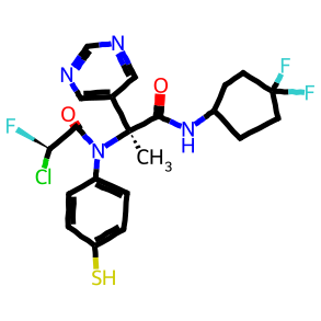 C[C@@](C(=O)NC1CCC(F)(F)CC1)(c1cncnc1)N(C(=O)[C@H](F)Cl)c1ccc(S)cc1